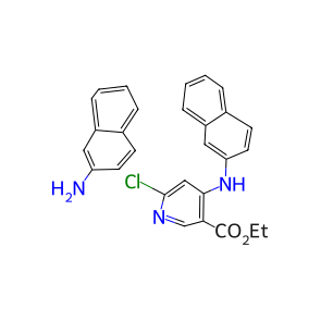 CCOC(=O)c1cnc(Cl)cc1Nc1ccc2ccccc2c1.Nc1ccc2ccccc2c1